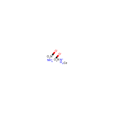 O=[N+]([O-])[O-].O=[N+]([O-])[O-].[Ce].[NH4+].[NH4+]